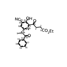 CCOC(=O)CCC(=O)c1nc(N(C)C(=O)c2ccccc2)cc(C#N)c1O